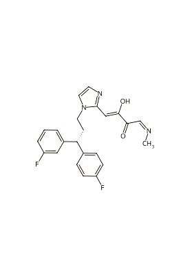 C/N=C\C(=O)/C(O)=C/c1nccn1CC[C@H](c1ccc(F)cc1)c1cccc(F)c1